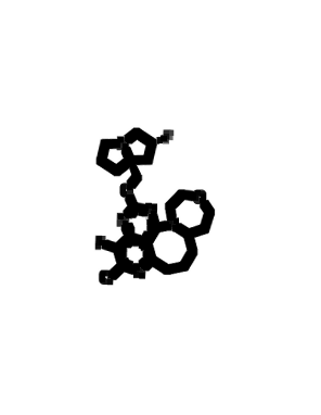 Fc1c(Cl)nc2c3c(nc(OC[C@@]45CCCN4C[C@H](F)C5)nc13)N1CCOCCC1CCC2